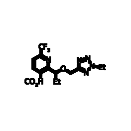 CCC(OCc1nnn(CC)n1)c1nc(C(F)(F)F)ccc1C(=O)O